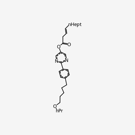 CCCCCCCC=CCC(=O)Oc1cnc(-c2ccc(CCCCCOCCC)cc2)nc1